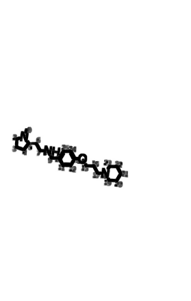 CN1CCC[C@@H]1CCNCc1ccc(OCCCN2CCCCC2)cc1